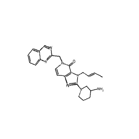 C/C=C/Cn1c(N2CCCC(N)C2)nc2ccn(Cc3ncc4ccccc4n3)c(=O)c21